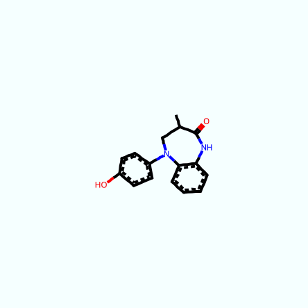 CC1CN(c2ccc(O)cc2)c2ccccc2NC1=O